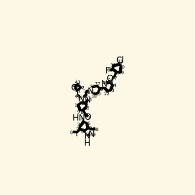 CCc1cc(NC(=O)c2ccc3c(c2)nc(CN2CCC(c4cccc(OCc5ccc(Cl)cc5F)n4)CC2)n3C[C@@H]2CCO2)cc2c(C)n[nH]c12